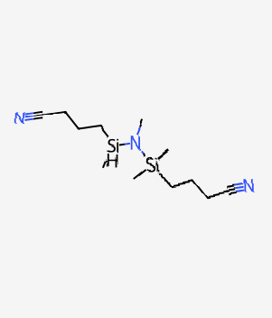 CN([SiH](C)CCCC#N)[Si](C)(C)CCCC#N